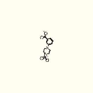 COC(=O)c1cccc(N2CCN([N+](=O)[O-])CC2)c1